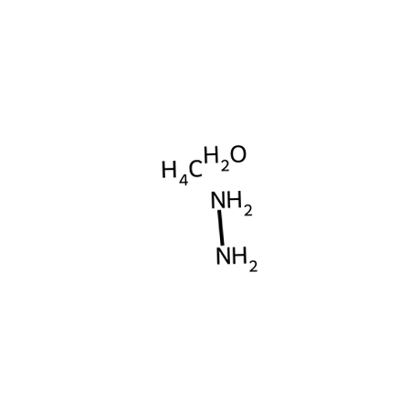 C.NN.O